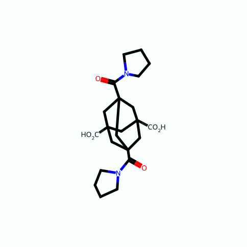 O=C(O)C12CC3(C(=O)O)CC(C(=O)N4CCCC4)(C1)CC(C(=O)N1CCCC1)(C2)C3